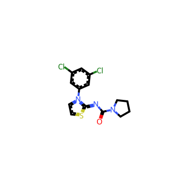 O=C(N=c1sccn1-c1cc(Cl)cc(Cl)c1)N1CCCC1